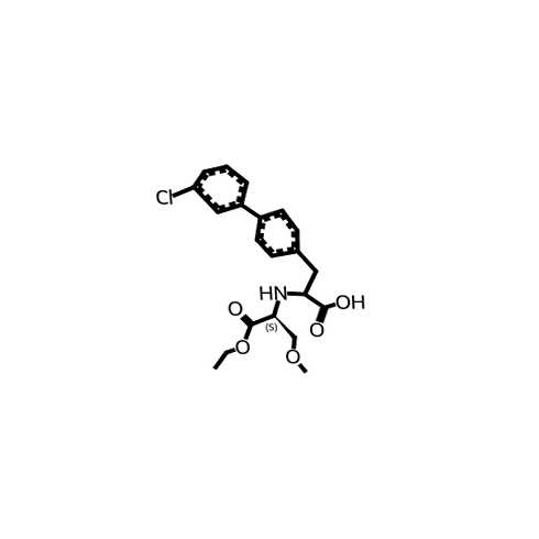 CCOC(=O)[C@H](COC)NC(Cc1ccc(-c2cccc(Cl)c2)cc1)C(=O)O